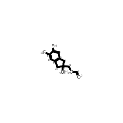 O=COCC1(O)Cc2cc(F)c(F)cc2C1